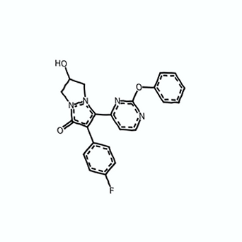 O=c1c(-c2ccc(F)cc2)c(-c2ccnc(Oc3ccccc3)n2)n2n1CC(O)C2